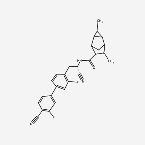 CC1C2C3CC(C12)N(C)C3C(=O)N[C@H](C#N)Cc1ccc(-c2ccc(C#N)c(F)c2)cc1F